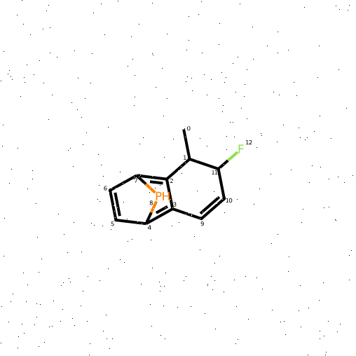 CC1c2c(c3ccc2[pH]3)C=CC1F